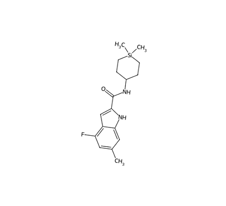 Cc1cc(F)c2cc(C(=O)NC3CC[Si](C)(C)CC3)[nH]c2c1